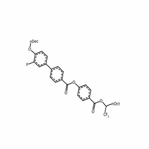 CCCCCCCCCCOc1ccc(-c2ccc(C(=O)Oc3ccc(C(=O)OC(CCCCCCCC)C(F)(F)F)cc3)cc2)cc1F